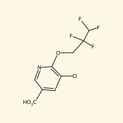 O=C(O)c1cnc(OCC(F)(F)C(F)F)c(Cl)c1